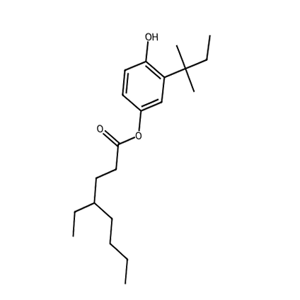 CCCCC(CC)CCC(=O)Oc1ccc(O)c(C(C)(C)CC)c1